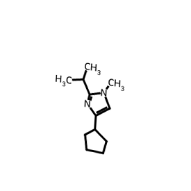 CC(C)c1nc(C2CCCC2)cn1C